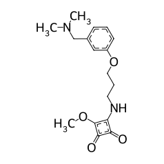 COc1c(NCCCOc2cccc(CN(C)C)c2)c(=O)c1=O